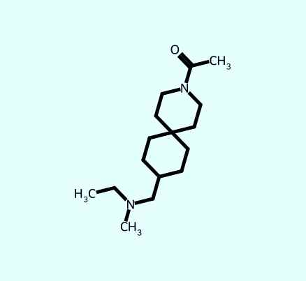 CCN(C)CC1CCC2(CC1)CCN(C(C)=O)CC2